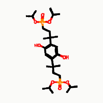 CC(C)OP(=O)(CCC(C)(C)c1cc(O)c(C(C)(C)CCP(=O)(OC(C)C)OC(C)C)cc1O)OC(C)C